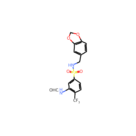 O=CNc1cc(S(=O)(=O)NCc2ccc3c(c2)OCO3)ccc1C(F)(F)F